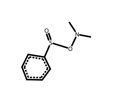 CN(C)OS(=O)c1ccccc1